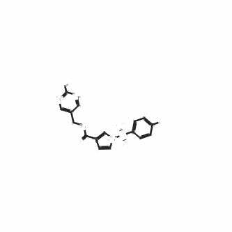 Cc1ccc(S(=O)(=O)n2ccc(C(=O)NCc3cnc(C)nc3)c2)cc1